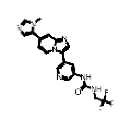 Cn1cncc1-c1ccn2c(-c3cncc(NC(=O)NCC(F)(F)F)c3)cnc2c1